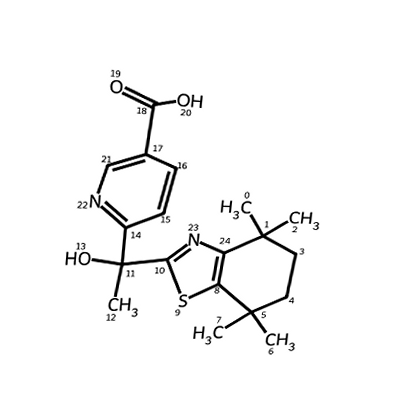 CC1(C)CCC(C)(C)c2sc(C(C)(O)c3ccc(C(=O)O)cn3)nc21